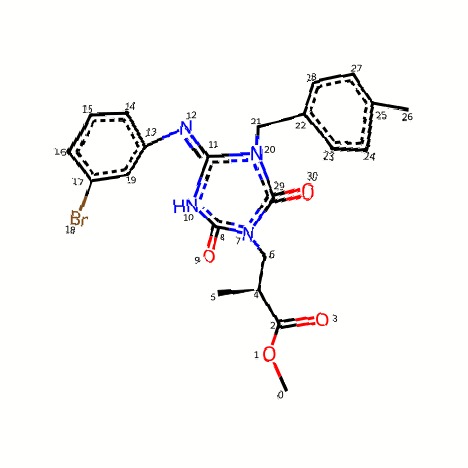 COC(=O)[C@@H](C)Cn1c(=O)[nH]/c(=N\c2cccc(Br)c2)n(Cc2ccc(C)cc2)c1=O